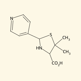 CC1(C)SC(c2ccncc2)NC1C(=O)O